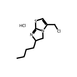 CCCCC1CN2C(CCl)=CSC2=N1.Cl